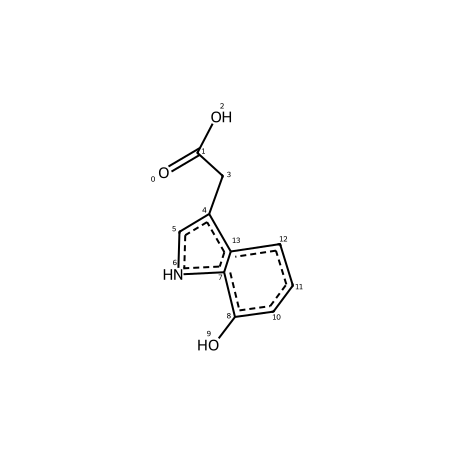 O=C(O)Cc1c[nH]c2c(O)cccc12